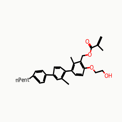 C=C(C)C(=O)OCc1c(OCCO)ccc(-c2ccc(-c3ccc(CCCCC)cc3)cc2C)c1C